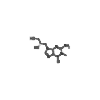 Cn1c(N)nc2c(ncn2C[C@H](O)CO)c1=O